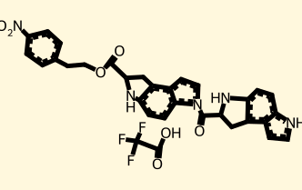 O=C(O)C(F)(F)F.O=C(OCCc1ccc([N+](=O)[O-])cc1)C1Cc2c(ccc3c2ccn3C(=O)C2Cc3c(ccc4[nH]ccc34)N2)N1